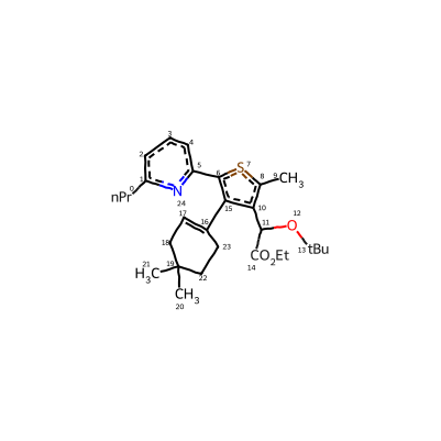 CCCc1cccc(-c2sc(C)c(C(OC(C)(C)C)C(=O)OCC)c2C2=CCC(C)(C)CC2)n1